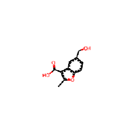 Cc1oc2ccc(CO)cc2c1C(=O)O